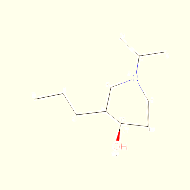 CCCC1CN(C(C)C)CC[C@H]1O